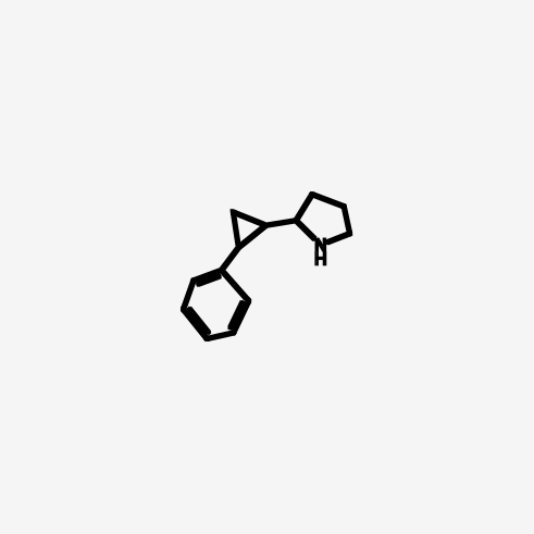 c1ccc(C2CC2C2CCCN2)cc1